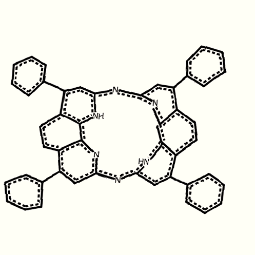 c1ccc(-c2cc3nc4cc(-c5ccccc5)c5ccc6c(-c7ccccc7)cc(nc7cc(-c8ccccc8)c8ccc2c(n3)c8[nH]7)nc6c5[nH]4)cc1